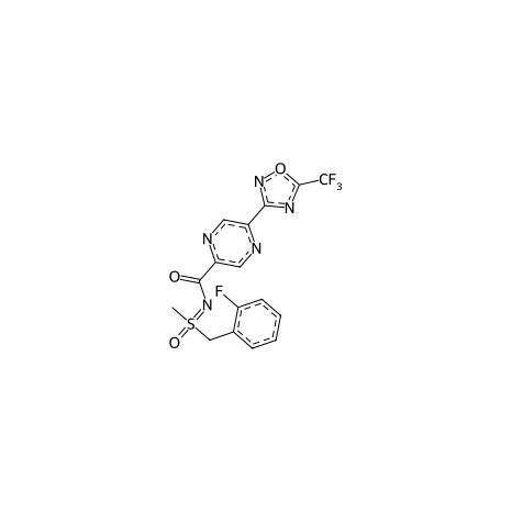 CS(=O)(Cc1ccccc1F)=NC(=O)c1cnc(-c2noc(C(F)(F)F)n2)cn1